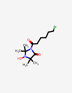 CC1(C)C(=O)N(C(=O)CCCCCBr)C(C)(C)N1O